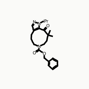 CC(C)n1ncc2c1C(=O)C(C)(C)CCN(C(=O)OCc1ccccc1)CCC2